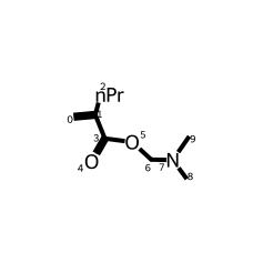 C=C(CCC)C(=O)OCN(C)C